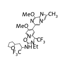 CCN(C(=O)NC(CC1CCCO1)C(F)(F)F)[C@@H](c1cc(-c2cn3cc(C)nc3c(OC)n2)c(OC)cn1)C(F)(F)F